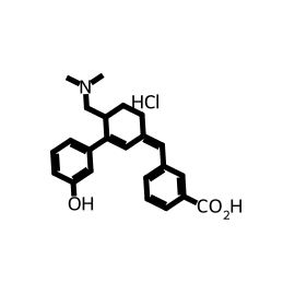 CN(C)CC1CCC(=Cc2cccc(C(=O)O)c2)C=C1c1cccc(O)c1.Cl